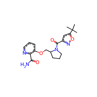 CC(C)(C)c1cc(C(=O)N2CCCC2COc2cccnc2C(N)=O)no1